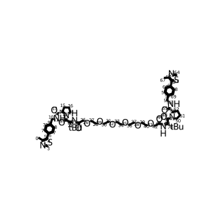 Cc1ncsc1-c1ccc(CNC(=O)[C@@H]2CCCN2C(=O)[C@@H](NC(=O)COCCOCCOCCOCCOCCOCC(=O)N[C@H](C(=O)N2CCC[C@H]2C(=O)NCc2ccc(-c3scnc3C)cc2)C(C)(C)C)C(C)(C)C)cc1